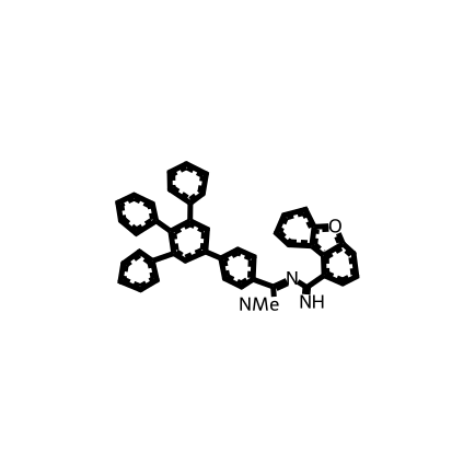 CN/C(=N\C(=N)c1cccc2oc3ccccc3c12)c1ccc(-c2cc(-c3ccccc3)c(-c3ccccc3)c(-c3ccccc3)c2)cc1